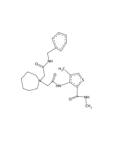 CNC(=O)c1scc(C)c1NC(=O)C[N+]1(CC(=O)NCc2ccccc2)CCCCCC1